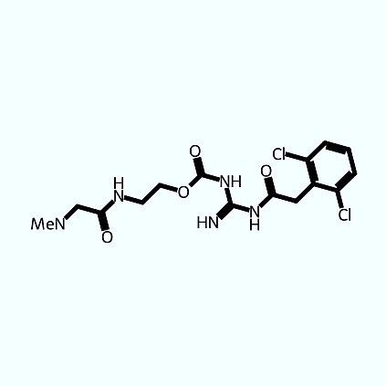 CNCC(=O)NCCOC(=O)NC(=N)NC(=O)Cc1c(Cl)cccc1Cl